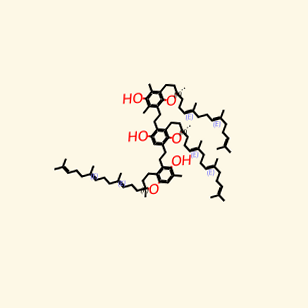 CC(C)=CCC/C(C)=C/CC/C(C)=C/CC[C@]1(C)CCc2c(cc(C)c(O)c2CCc2cc(O)c(CCc3c(C)c(O)c(C)c4c3O[C@](C)(CC/C=C(\C)CC/C=C(\C)CCC=C(C)C)CC4)c3c2O[C@](C)(CC/C=C(\C)CC/C=C(\C)CCC=C(C)C)CC3)O1